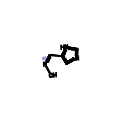 O/N=C\c1cnc[nH]1